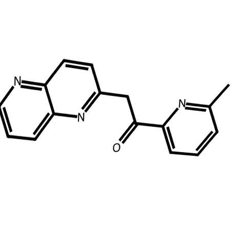 Cc1cccc(C(=O)Cc2ccc3ncccc3n2)n1